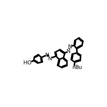 CCCCc1ccc(-c2ccccc2N=Nc2ccc(N=Nc3ccc(O)cc3)c3ccccc23)cc1